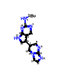 CC[C@H](C)Nc1ncc2c(-c3cnc4nccn4c3)c[nH]c2n1